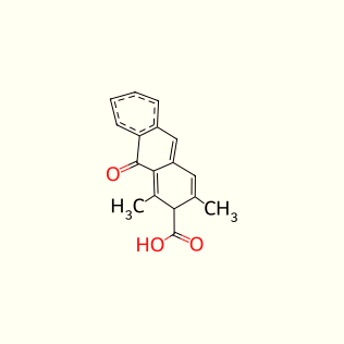 CC1=CC2=Cc3ccccc3C(=O)C2=C(C)C1C(=O)O